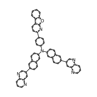 c1cnc2cc(-c3ccc4cc(N(c5ccc(-c6ccc7c(n6)oc6ccccc67)cc5)c5ccc6cc(-c7cnc8cccnc8c7)ccc6c5)ccc4c3)cnc2c1